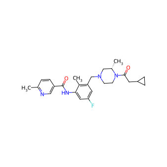 Cc1ccc(C(=O)Nc2cc(F)cc(CN3CCN(C(=O)CC4CC4)[C@@H](C)C3)c2C)cn1